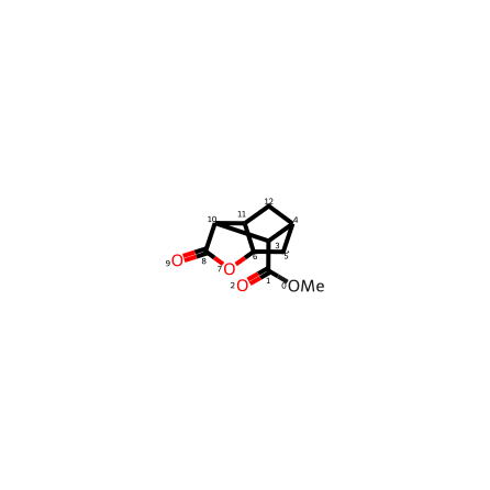 COC(=O)C1C2[CH]C3OC(=O)C1C3C2